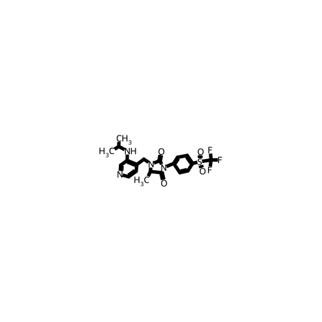 CC(C)Nc1cnccc1CN1C(=O)N(c2ccc(S(=O)(=O)C(F)(F)F)cc2)C(=O)C1C